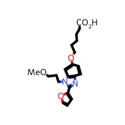 COCCCn1c(-c2ccco2)nc2ccc(OCCCCCC(=O)O)cc21